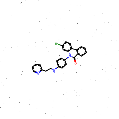 O=C(Nc1ccc(NCCc2ccccn2)cc1)c1ccccc1-c1ccc(Br)cc1